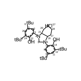 CC(C)(C)c1cc(N2CN(c3cc(C(C)(C)C)cc(C(C)(C)C)c3O)C3CCCCC32)c(O)c(C(C)(C)C)c1.Cl